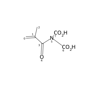 C=C(C)C(=O)N(C(=O)O)C(=O)O